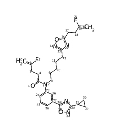 C=C(F)CCC(=O)N(CCCCCc1noc(CCC(=C)F)n1)c1cccc(-c2nc(C3CC3)no2)c1